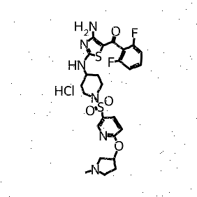 CN1CCC(Oc2ccc(S(=O)(=O)N3CCC(Nc4nc(N)c(C(=O)c5c(F)cccc5F)s4)CC3)cn2)C1.Cl